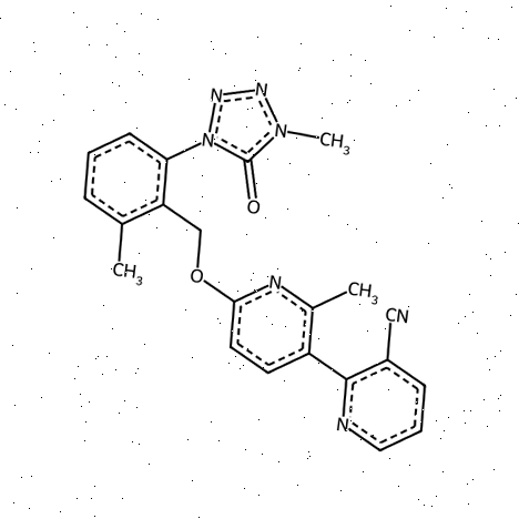 Cc1cccc(-n2nnn(C)c2=O)c1COc1ccc(-c2ncccc2C#N)c(C)n1